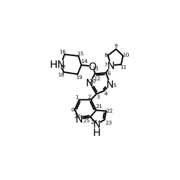 c1cc(-c2cnc(N3CCCC3)c(OC3CCNCC3)n2)c2cc[nH]c2n1